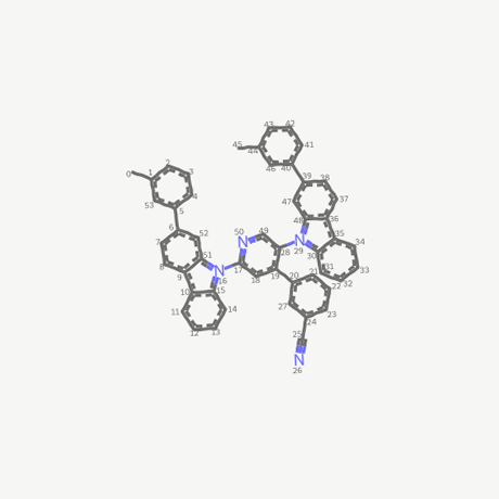 Cc1cccc(-c2ccc3c4ccccc4n(-c4cc(-c5cccc(C#N)c5)c(-n5c6ccccc6c6ccc(-c7cccc(C)c7)cc65)cn4)c3c2)c1